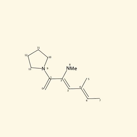 C=C(/C(=C/C(C)=C/C)NC)N1CCCC1